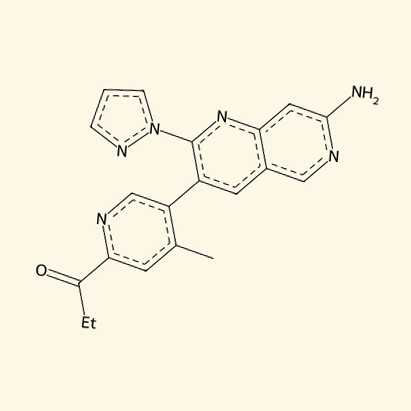 CCC(=O)c1cc(C)c(-c2cc3cnc(N)cc3nc2-n2cccn2)cn1